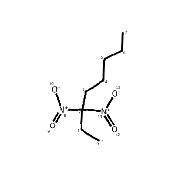 [CH2]CC(CCCCC)([N+](=O)[O-])[N+](=O)[O-]